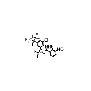 O=Nc1cccc(C(=O)Nc2c(Cl)cc(C(I)(C(F)(F)F)C(F)(F)I)cc2OC(F)I)c1F